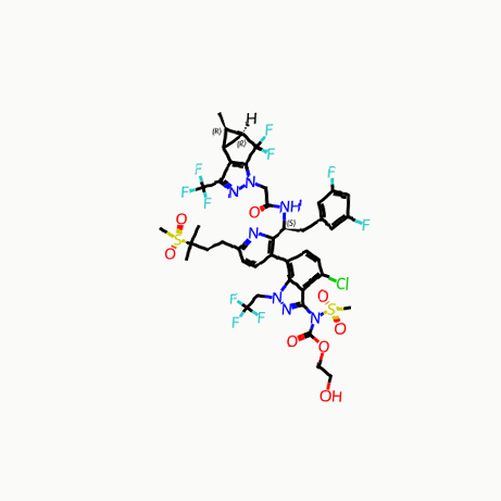 C[C@@H]1C2c3c(C(F)(F)F)nn(CC(=O)N[C@@H](Cc4cc(F)cc(F)c4)c4nc(CCC(C)(C)S(C)(=O)=O)ccc4-c4ccc(Cl)c5c(N(C(=O)OCCO)S(C)(=O)=O)nn(CC(F)(F)F)c45)c3C(F)(F)[C@@H]21